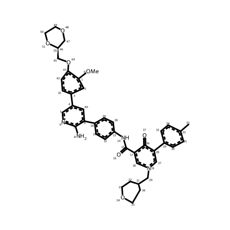 COc1cc(-c2cnc(N)c(-c3ccc(NC(=O)c4cn(CC5CCOCC5)cc(-c5ccc(C)cc5)c4=O)cc3)c2)ccc1OC[C@@H]1COCCO1